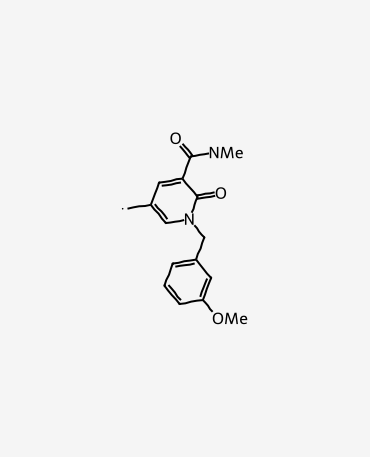 [CH2]c1cc(C(=O)NC)c(=O)n(Cc2cccc(OC)c2)c1